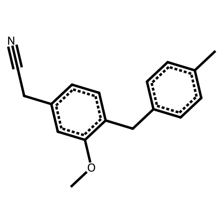 COc1cc(CC#N)ccc1Cc1ccc(C)cc1